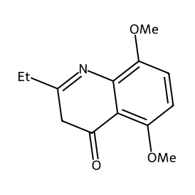 CCC1=Nc2c(OC)ccc(OC)c2C(=O)C1